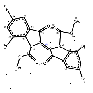 CC(C)(C)OC(=O)N1/C(=C2\C(=O)c3cc(Br)cc(Br)c3N2C(=O)OC(C)(C)C)C(=O)c2cc(F)cc(Br)c21